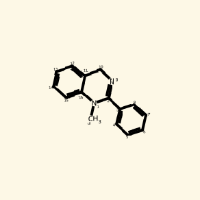 CN1C(c2ccccc2)=NCc2ccccc21